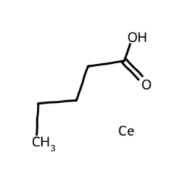 CCCCC(=O)O.[Ce]